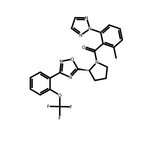 Cc1cccc(-n2nccn2)c1C(=O)N1CCC[C@H]1c1nc(-c2ccccc2OC(F)(F)F)no1